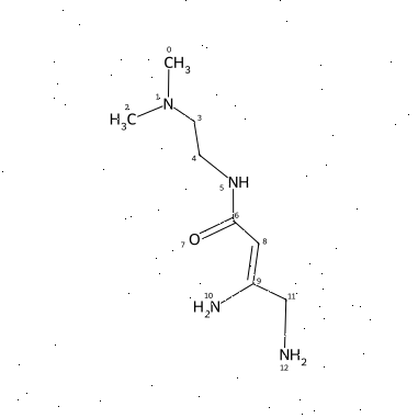 CN(C)CCNC(=O)C=C(N)CN